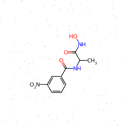 CC(NC(=O)c1cccc([N+](=O)[O-])c1)C(=O)NO